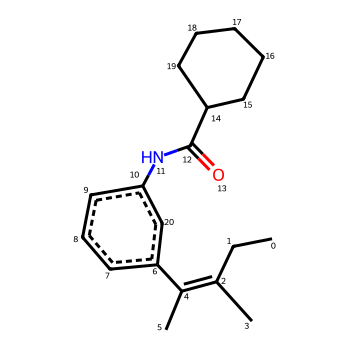 CC/C(C)=C(/C)c1cccc(NC(=O)C2CCCCC2)c1